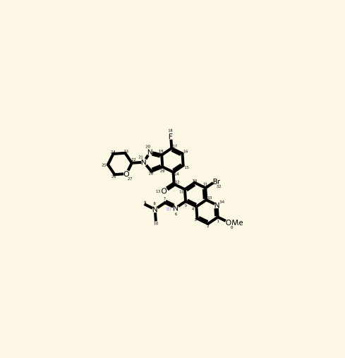 COc1ccc2c(/N=C/N(C)C)c(C(=O)c3ccc(F)c4nn(C5CCCCO5)cc34)cc(Br)c2n1